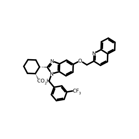 O=C(O)[C@@H]1CCCC[C@@H]1c1nc2cc(OCc3ccc4ccccc4n3)ccc2n1Cc1cccc(C(F)(F)F)c1